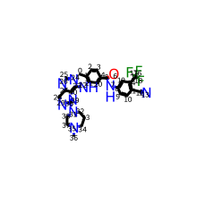 Cc1ccc(C(=O)Nc2ccc(C#N)c(C(F)(F)F)c2)cc1Nc1ncnc2cnc(N3CCCN(C)CC3)nc12